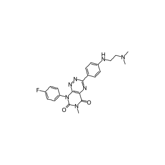 CN(C)CCNc1ccc(-c2nnc3c(n2)c(=O)n(C)c(=O)n3-c2ccc(F)cc2)cc1